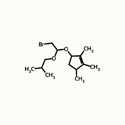 CC1=C(C)C(OC(CBr)OCC(C)C)CC1C